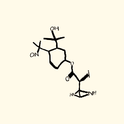 CC(C)(O)C1CC(OC(=O)C(I)C23NC2N3)CCC1C(C)(C)N=O